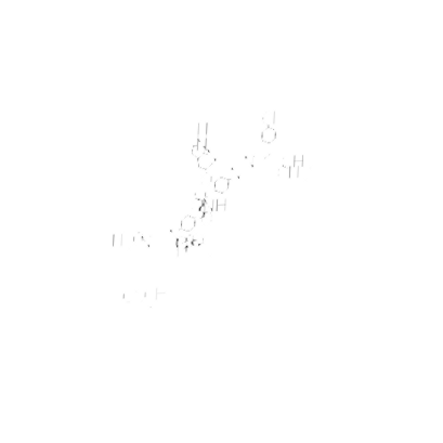 CN(CCCCCCC(=O)O)CCCNc1ccc(S(=O)(=O)NC(=O)c2ccc(N3CCN(CC4=C(c5ccc(Cl)cc5)CC(C)(C)CC4)CC3)cc2Oc2cnc3[nH]ccc3c2)cc1S(=O)(=O)C(F)(F)F